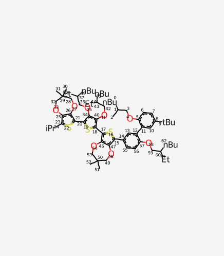 CCCCC(C)COc1ccc(C(C)(C)C)cc1-c1cc(-c2sc(-c3sc(-c4sc(C(C)C)c5c4OCC(C)(C)CO5)c(OCC(CC)CCCC)c3OCC(CC)CCCC)c3c2OCC(C)(C)CO3)ccc1OCC(CC)CCCC